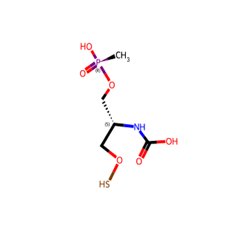 C[P@@](=O)(O)OC[C@@H](COS)NC(=O)O